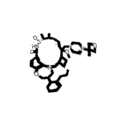 CCCc1ccccc1C1COc2ccc3cc2N(C1)CC1CCC1C(CN1CCN(C2(C)COC2)CC1)(OC)/C=C/CC(C)C(C)[S+]([O-])NC3=O